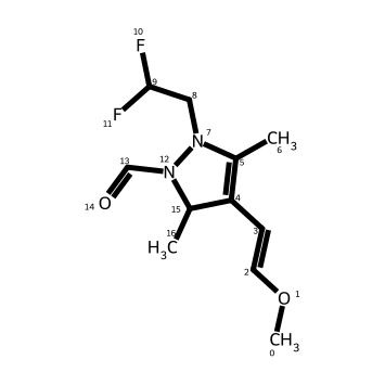 COC=CC1=C(C)N(CC(F)F)N(C=O)C1C